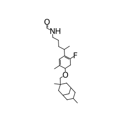 CC1=CC(C(C)CCCNC=O)=C(F)CC1OCC1(C)CC2CC(C)CC(C2)C1